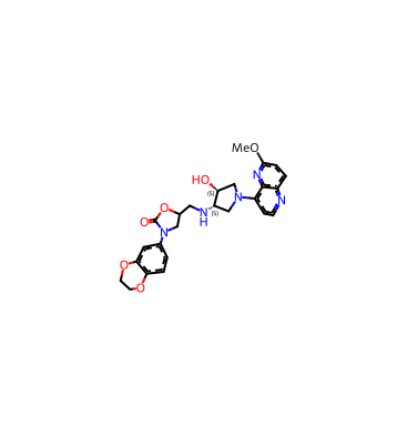 COc1ccc2nccc(N3C[C@H](NCC4CN(c5ccc6c(c5)OCCO6)C(=O)O4)[C@@H](O)C3)c2n1